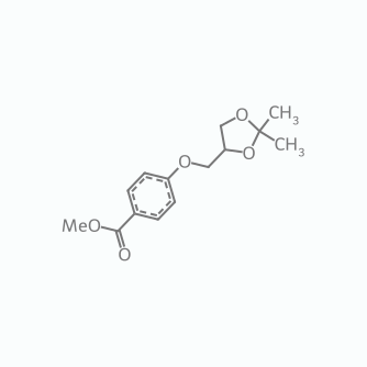 COC(=O)c1ccc(OCC2COC(C)(C)O2)cc1